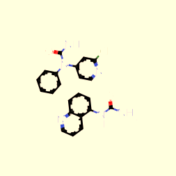 NC(=O)N(c1ccccc1)c1ccnc(Cl)c1.NC(=O)Nc1cccc2ncccc12